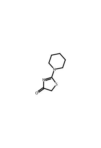 O=C1CSC(N2CCCCC2)=N1